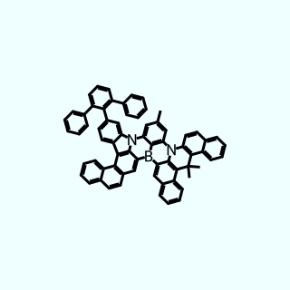 Cc1cc2c3c(c1)-n1c4cc(-c5c(-c6ccccc6)cccc5-c5ccccc5)ccc4c4c5c(ccc6ccccc65)cc(c41)B3c1cc3ccccc3c3c1N2c1ccc2ccccc2c1C3(C)C